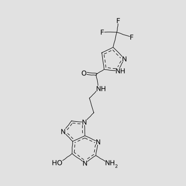 Nc1nc(O)c2ncn(CCNC(=O)c3cc(C(F)(F)F)n[nH]3)c2n1